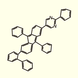 c1ccc(-c2ncc(-c3ccc4c(-c5ccccc5)c5cc(-c6ccccc6-c6ccccc6)ccc5c(-c5ccccc5)c4c3)cn2)cc1